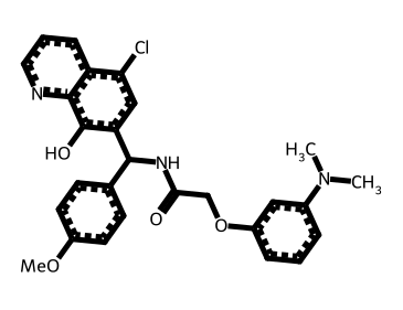 COc1ccc(C(NC(=O)COc2cccc(N(C)C)c2)c2cc(Cl)c3cccnc3c2O)cc1